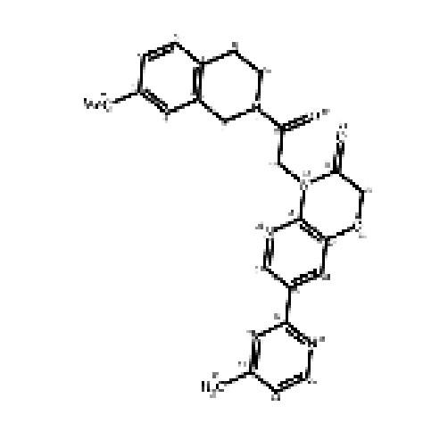 COc1ccc2c(c1)CN(C(=O)CN1C(=O)COc3cc(-c4cc(C)ccn4)cnc31)CC2